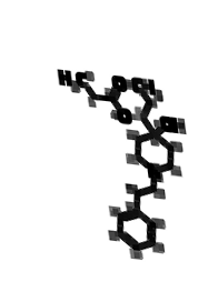 CCC(=O)OC(CC)C1(O)CCN(CCc2ccccc2)CC1